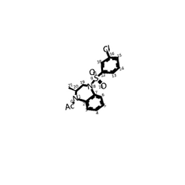 CC(=O)N1c2ccccc2N(S(=O)(=O)c2cccc(Cl)c2)C[C@@H]1C